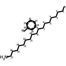 CCCCCCCCCCCCCCCCCCN.[CH2]c1ccccc1